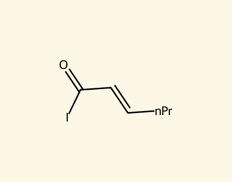 CCCC=CC(=O)I